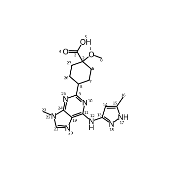 COC1(C(=O)O)CCC(c2nc(Nc3cc(C)[nH]n3)c3ncn(C)c3n2)CC1